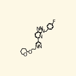 Fc1ccc(Cn2nnc3ccc(-c4cnn(CCOC5CCCCO5)c4)nc32)cc1